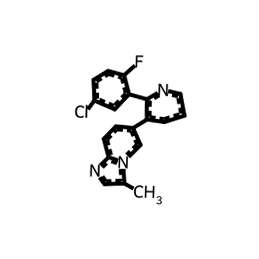 Cc1cnc2ccc(-c3cccnc3-c3cc(Cl)ccc3F)cn12